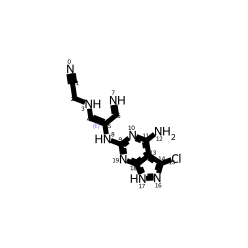 N#CCN/C=C(\C=N)Nc1nc(N)c2c(Cl)n[nH]c2n1